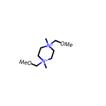 COC[N+]1(C)CC[N+](C)(COC)CC1